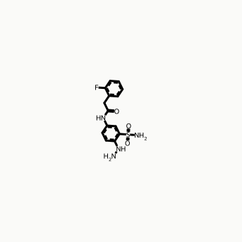 NNc1ccc(NC(=O)Cc2ccccc2F)cc1S(N)(=O)=O